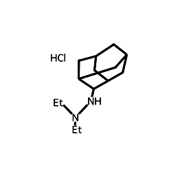 CCN(CC)NC1C2CC3CC(C2)CC1C3.Cl